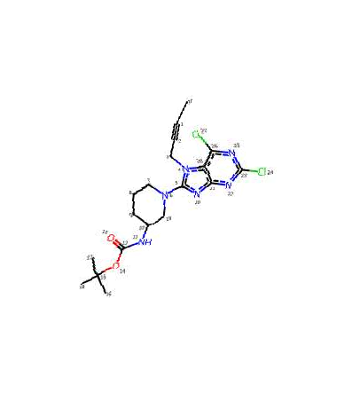 CC#CCn1c(N2CCCC(NC(=O)OC(C)(C)C)C2)nc2nc(Cl)nc(Cl)c21